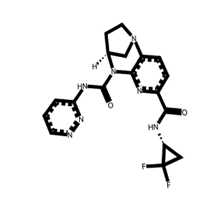 O=C(N[C@@H]1CC1(F)F)c1ccc2c(n1)N(C(=O)Nc1cccnn1)[C@H]1CCN2C1